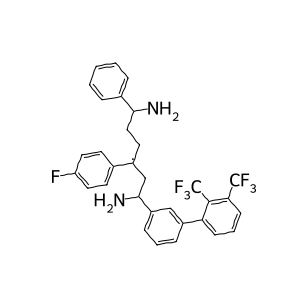 NC(CC[C](CC(N)c1cccc(-c2cccc(C(F)(F)F)c2C(F)(F)F)c1)c1ccc(F)cc1)c1ccccc1